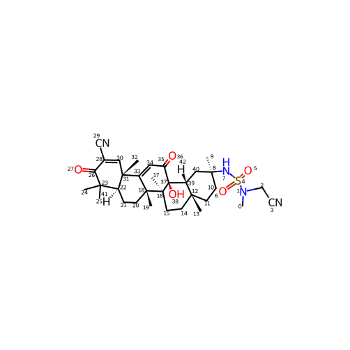 CN(CC#N)S(=O)(=O)N[C@@]1(C)CC[C@]2(C)CC[C@@]3(C)[C@]4(C)CC[C@H]5C(C)(C)C(=O)C(C#N)=C[C@]5(C)C4=CC(=O)[C@]3(O)[C@@H]2C1